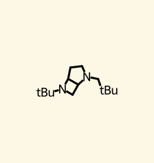 CC(C)(C)CN1CCC2C1CN2C(C)(C)C